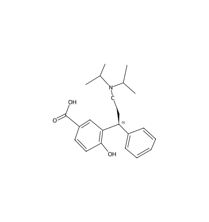 CC(C)N(CC[C@@H](c1ccccc1)c1cc(C(=O)O)ccc1O)C(C)C